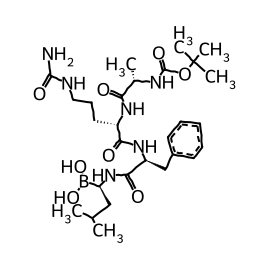 CC(C)C[C@H](NC(=O)[C@H](Cc1ccccc1)NC(=O)[C@H](CCCNC(N)=O)NC(=O)[C@H](C)NC(=O)OC(C)(C)C)B(O)O